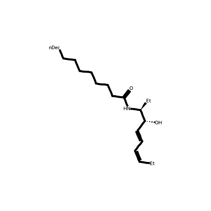 CC/C=C\C=C\[C@@H](O)[C@H](CC)NC(=O)CCCCCCCCCCCCCCCCC